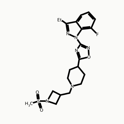 CCc1nn(-c2noc(C3CCN(CC4CN(S(C)(=O)=O)C4)CC3)n2)c2c(F)cccc12